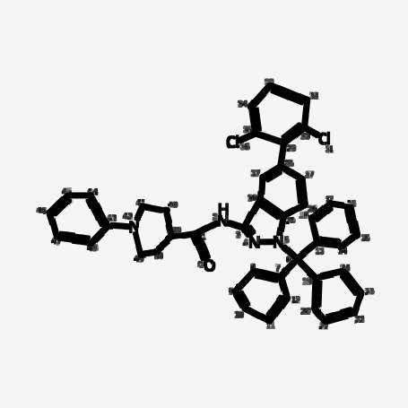 O=C(Nc1nn(C(c2ccccc2)(c2ccccc2)c2ccccc2)c2ccc(-c3c(Cl)cccc3Cl)cc12)C1CCN(c2ccccc2)CC1